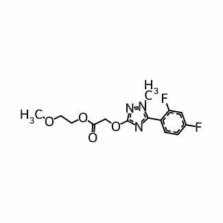 COCCOC(=O)COc1nc(-c2ccc(F)cc2F)n(C)n1